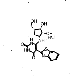 Cl.O=c1[nH]c(N[C@@H]2C[C@H](CO)[C@@H](O)[C@H]2O)c(-c2nc3ccccc3s2)c(=O)[nH]1